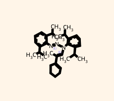 C/C(=C\N(/N=N/c1c(C(C)C)cccc1C(C)C)c1c(C(C)C)cccc1C(C)C)C1=CCCCC1